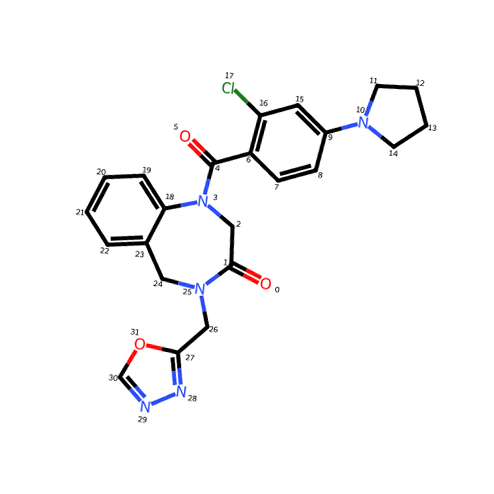 O=C1CN(C(=O)c2ccc(N3CCCC3)cc2Cl)c2ccccc2CN1Cc1nnco1